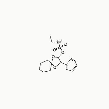 CCNS(=O)(=O)OC1OC2(CCCCC2)OC1c1ccccc1